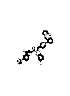 O=C(N[C@H](C=C1CCN(c2ccccc2CN2CCCC2=O)CC1)Cc1ccc(Cl)cc1)c1cc(=O)c2cc(-n3cncn3)ccc2o1